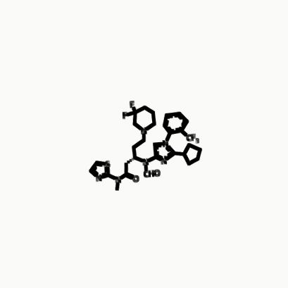 CN(C(=O)C[C@H](CCN1CCCC(F)(F)C1)N(C=O)c1cn(-c2ccccc2C(F)(F)F)c(C2CCCC2)n1)c1nccs1